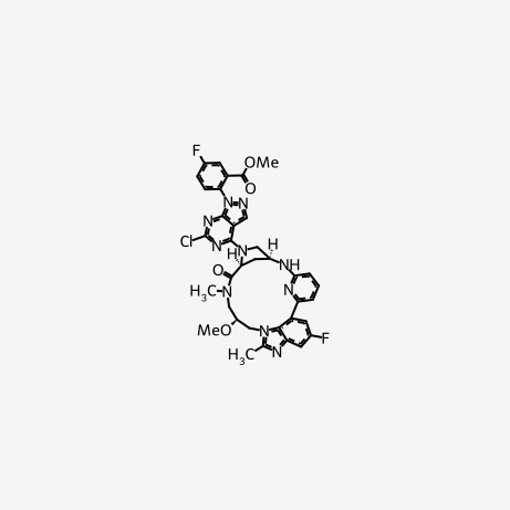 COC(=O)c1cc(F)ccc1-n1ncc2c(N3C[C@@H]4C[C@H]3C(=O)N(C)C[C@H](OC)Cn3c(C)nc5cc(F)cc(c53)-c3cccc(n3)N4)nc(Cl)nc21